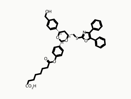 O=C(O)CCCCCCC(=O)Oc1ccc([C@H]2O[C@@H](CSc3nc(-c4ccccc4)c(-c4ccccc4)o3)C[C@@H](c3ccc(CO)cc3)O2)cc1